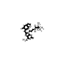 CC(C)(C)C(=O)NCCCn1c(Cc2cc3c(cc2I)CCO3)nc2c(N)nc(F)nc21